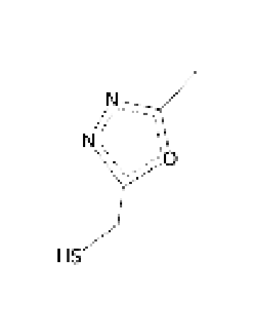 Cc1nnc(CS)o1